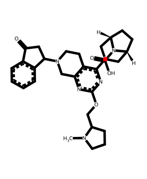 CN1CCCC1COc1nc2c(c(N3C[C@H]4CC[C@@H](C3)N4C(=O)O)n1)CCN(C1CC(=O)c3ccccc31)C2